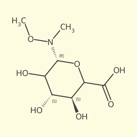 CON(C)[C@@H]1OC(C(=O)O)[C@@H](O)[C@H](O)C1O